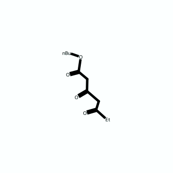 CCCCOC(=O)CC(=O)CC(=O)CC